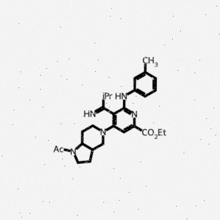 CCOC(=O)c1cc(N2CCC3C(CCN3C(C)=O)C2)c(C(=N)C(C)C)c(Nc2cccc(C)c2)n1